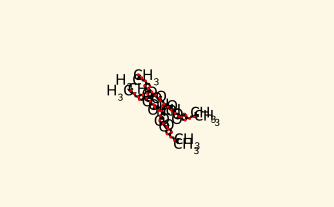 CC(C)=CCCC1=CCC(C(=O)OCCOC(=O)CCN(CCC(=O)OCCOC(=O)C2CC=C(CCC=C(C)C)CC2)CC(C)N(CCC(=O)OCCOC(=O)C2CC=C(CCC=C(C)C)CC2)CCC(=O)OCCOC(=O)C2CC=C(CCC=C(C)C)CC2)CC1